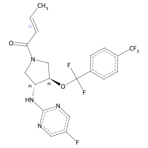 C/C=C/C(=O)N1C[C@@H](Nc2ncc(F)cn2)[C@H](OC(F)(F)c2ccc(C(F)(F)F)cc2)C1